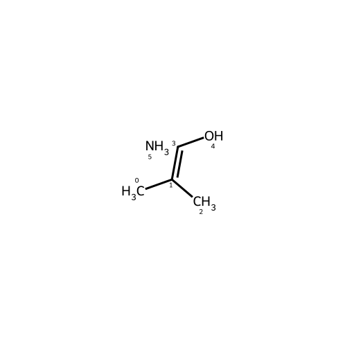 CC(C)=CO.N